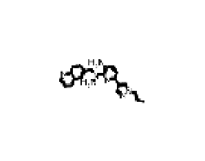 CCCn1cc(-c2ccc(N)c(N(N)Cc3ccc4ncccc4c3)n2)cn1